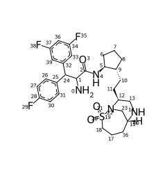 NC(C(=O)N[C@H]1CCC[C@@H]1CC[C@H]1CN[C@@H]2CCCS(=O)(=O)N1C2)C(c1ccc(F)cc1)c1cc(F)cc(F)c1